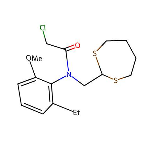 CCc1cccc(OC)c1N(CC1SCCCCS1)C(=O)CCl